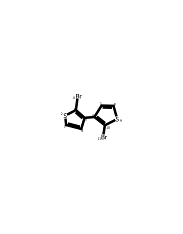 Brc1sccc1-c1ccsc1Br